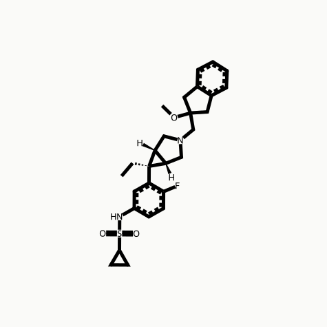 CC[C@]1(c2cc(NS(=O)(=O)C3CC3)ccc2F)[C@@H]2CN(CC3(OC)Cc4ccccc4C3)C[C@@H]21